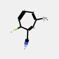 CC1=CC#CC(F)C(C#N)=C1